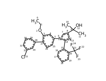 CCOc1cc(-n2cc(C(C)(C)O)nc2-c2ccccc2C(F)(F)F)ccc1-c1cccc(Cl)c1